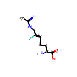 CC(=N)NC/C(F)=C/CC[C@H](N)C(=O)O